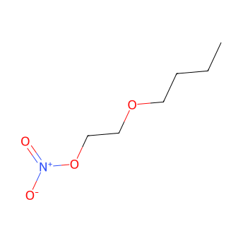 CCCCOCCO[N+](=O)[O-]